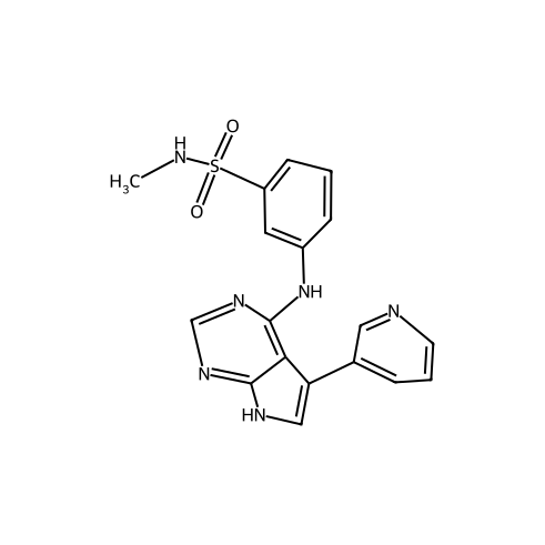 CNS(=O)(=O)c1cccc(Nc2ncnc3[nH]cc(-c4cccnc4)c23)c1